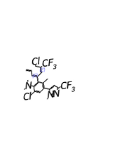 C=C/C=C(\C=C(/CCl)C(F)(F)F)c1c(C)c(-c2cc(C(F)(F)F)nn2C)cc(Cl)c1N(C)C